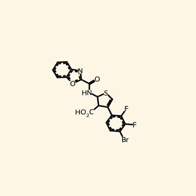 O=C(NC1SC=C(c2ccc(Br)c(F)c2F)C1C(=O)O)c1nc2ccccc2o1